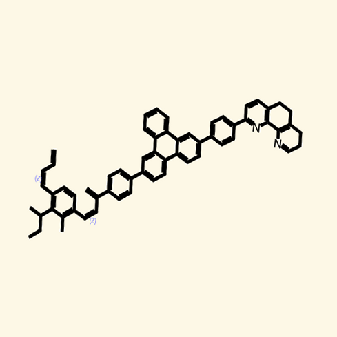 C=C/C=C\c1ccc(/C=C\C(=C)c2ccc(-c3ccc4c5ccc(-c6ccc(-c7ccc8c(n7)C7=C(CCC=N7)CC8)cc6)cc5c5ccccc5c4c3)cc2)c(C)c1C(C)CC